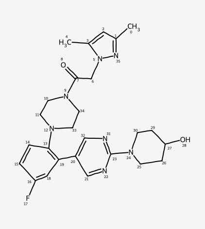 Cc1cc(C)n(CC(=O)N2CCN(c3ccc(F)cc3-c3cnc(N4CCC(O)CC4)nc3)CC2)n1